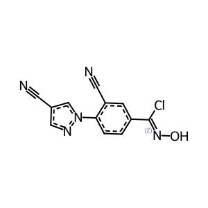 N#Cc1cnn(-c2ccc(/C(Cl)=N/O)cc2C#N)c1